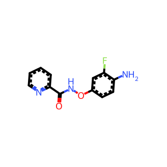 Nc1ccc(ONC(=O)c2ccccn2)cc1F